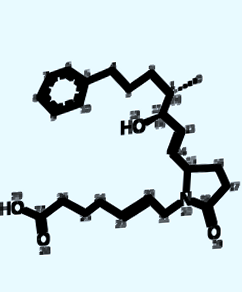 C[C@@H](CCCc1ccccc1)[C@H](O)C=CC1CCC(=O)N1CC=CCCCC(=O)O